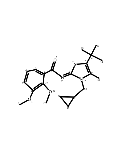 COc1cccc(C(=O)/N=c2\sc(C(C)(C)C)c(C)n2CC2CC2)c1OC